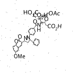 COc1ccc2oc(=O)c(C3=NN(c4ccc(C(=O)N[C@H]5C(CC(=O)O)O[C@@H](COC(C)=O)[C@@H](CC(=O)O)[C@H]5CC(=O)O)cc4)C(c4ccccc4)C3)cc2c1